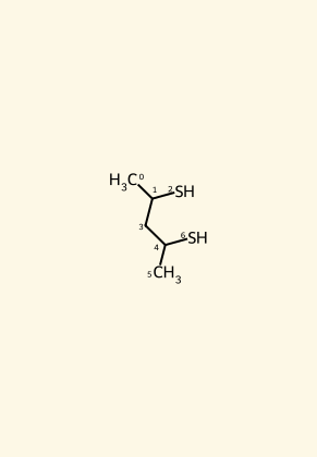 CC(S)CC(C)S